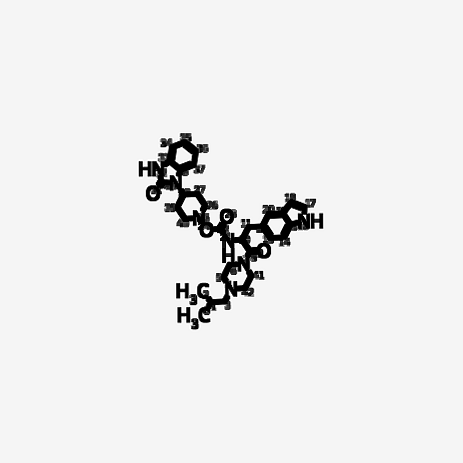 CC(C)CN1CCN(C(=O)C(Cc2ccc3[nH]ccc3c2)NC(=O)ON2CCC(n3c(=O)[nH]c4ccccc43)CC2)CC1